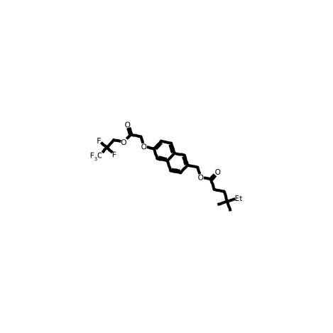 CCC(C)(C)CCC(=O)OCc1ccc2cc(OCC(=O)OCC(F)(F)C(F)(F)F)ccc2c1